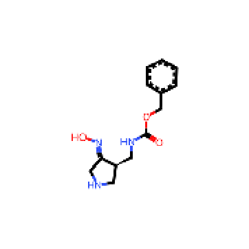 O=C(NC[C@H]1CNCC1=NO)OCc1ccccc1